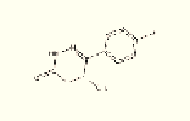 C[C@@H]1CC(=O)NN=C1c1ccc(F)cc1